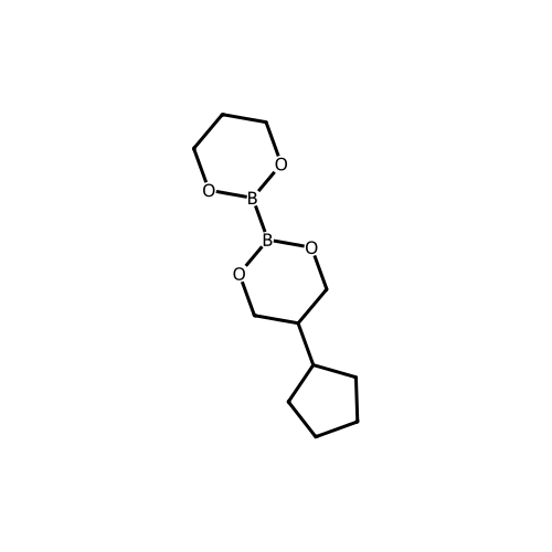 C1COB(B2OCC(C3CCCC3)CO2)OC1